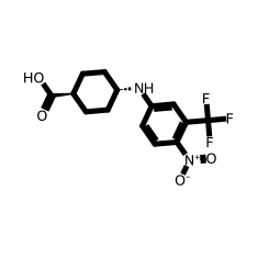 O=C(O)[C@H]1CC[C@H](Nc2ccc([N+](=O)[O-])c(C(F)(F)F)c2)CC1